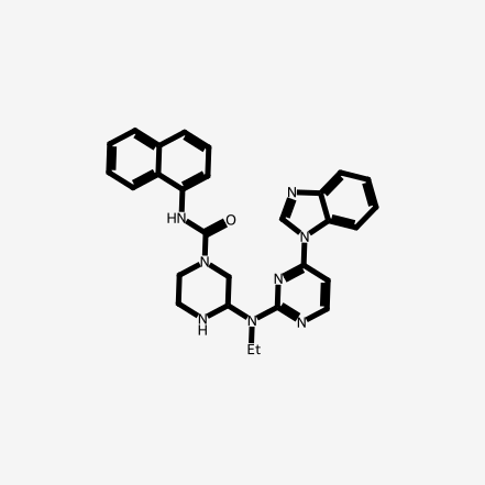 CCN(c1nccc(-n2cnc3ccccc32)n1)C1CN(C(=O)Nc2cccc3ccccc23)CCN1